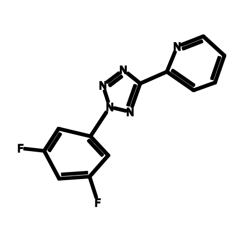 Fc1cc(F)cc(-n2nnc(-c3ccccn3)n2)c1